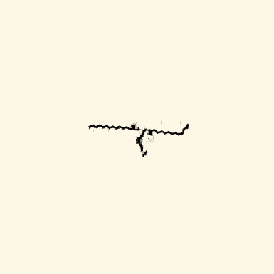 CCCCC/C=C\C/C=C\CCCCCCCC(=O)O[C@H](COC(=O)CCCCCCCCCCC/C=C\CCCCCCCC)COP(=O)(O)OCC[N+](C)(C)C